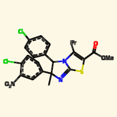 COC(=O)C1=C(C(C)C)N2C(=NC(C)(c3ccc(Cl)c([N+](=O)[O-])c3)C2c2ccc(Cl)cc2)S1